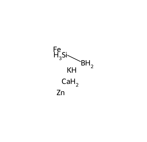 B[SiH3].[CaH2].[Fe].[KH].[Zn]